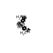 Cc1nccn1-c1ccc(NC(=O)c2nnnn2-c2ccc3onc(N)c3c2)cc1